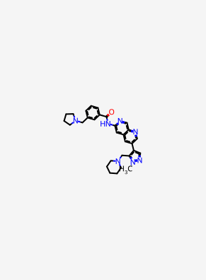 Cn1ncc(-c2cnc3cnc(NC(=O)c4cccc(CN5CCCC5)c4)cc3c2)c1CN1CCCCC1